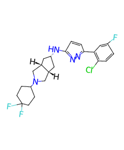 Fc1ccc(Cl)c(-c2ccc(N[C@@H]3C[C@@H]4CN(C5CCC(F)(F)CC5)C[C@@H]4C3)nn2)c1